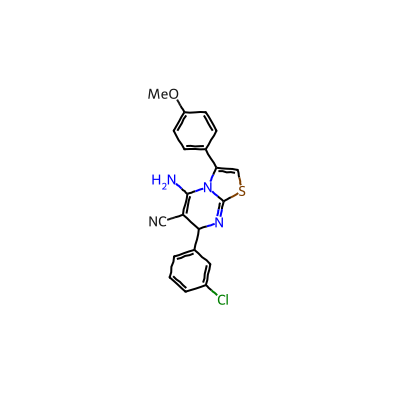 COc1ccc(C2=CSC3=NC(c4cccc(Cl)c4)C(C#N)=C(N)N23)cc1